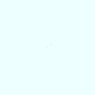 CCCCCCCOC(=O)CN(CCCCCCC)CCCCCCC